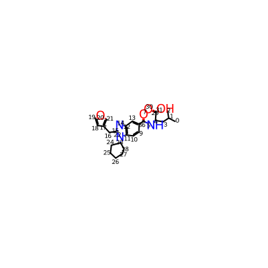 CC(C)CC(NC(=O)c1ccc2c(c1)nc(Cc1ccoc1)n2C1CCCCC1)C(=O)O